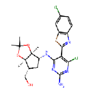 CC1(C)O[C@@H]2[C@@H](CO)C[C@@H](Nc3nc(N)nc(Cl)c3-c3nc4ccc(Cl)cc4s3)[C@@H]2O1